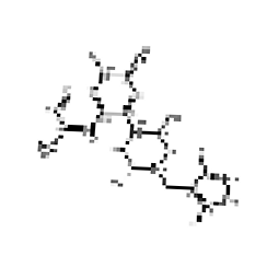 Cc1noc(C)c1CN1C[C@H](C)N(c2cc(=O)n(C)c3ccc(C#N)nc23)C[C@H]1C